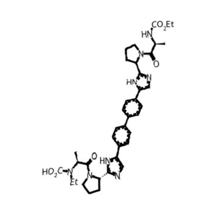 CCOC(=O)N[C@@H](C)C(=O)N1CCCC1c1ncc(-c2ccc(-c3ccc(-c4cnc([C@@H]5CCCN5C(=O)[C@H](C)N(CC)C(=O)O)[nH]4)cc3)cc2)[nH]1